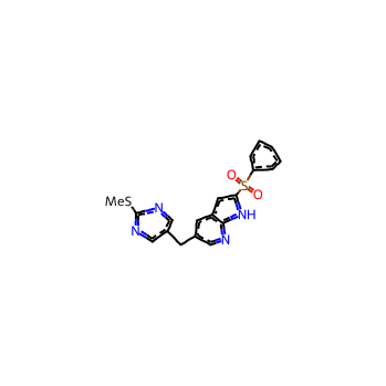 CSc1ncc(Cc2cnc3[nH]c(S(=O)(=O)c4ccccc4)cc3c2)cn1